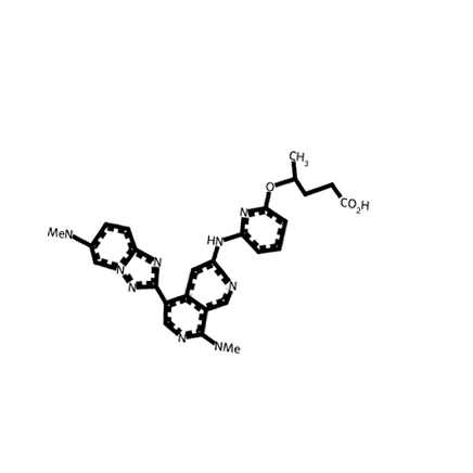 CNc1ccc2nc(-c3cnc(NC)c4cnc(Nc5cccc(OC(C)CCC(=O)O)n5)cc34)nn2c1